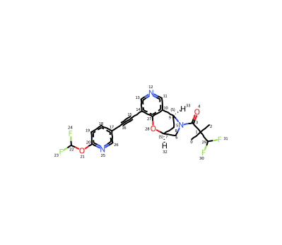 CC(C)(C(=O)N1C[C@@H]2C[C@H]1c1cncc(C#Cc3ccc(OC(F)F)nc3)c1O2)C(F)F